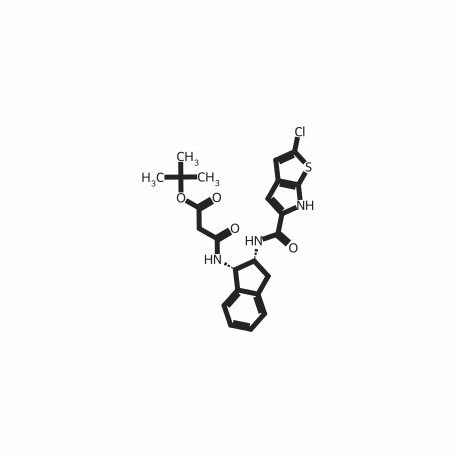 CC(C)(C)OC(=O)CC(=O)N[C@H]1c2ccccc2C[C@H]1NC(=O)c1cc2cc(Cl)sc2[nH]1